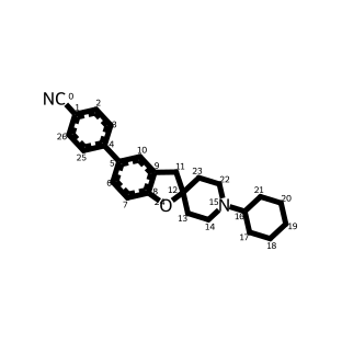 N#Cc1ccc(-c2ccc3c(c2)CC2(CCN(C4CCCCC4)CC2)O3)cc1